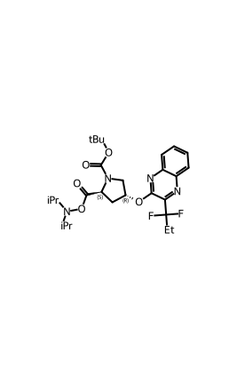 CCC(F)(F)c1nc2ccccc2nc1O[C@@H]1C[C@@H](C(=O)ON(C(C)C)C(C)C)N(C(=O)OC(C)(C)C)C1